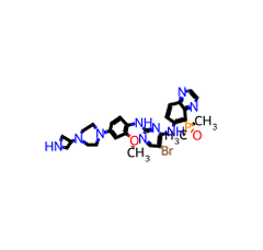 COc1cc(N2CCN(C3CNC3)CC2)ccc1Nc1ncc(Br)c(Nc2ccc3nccnc3c2P(C)(C)=O)n1